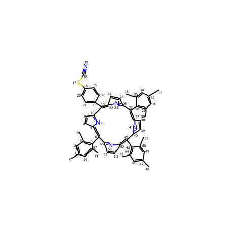 Cc1cc(C)c(C2=C3C=CC(=N3)C(c3ccc(SC#N)cc3)=C3C=CC(=N3)C(c3c(C)cc(C)cc3C)=C3C=CC(=N3)C(c3c(C)cc(C)cc3C)=C3C=CC2=N3)c(C)c1